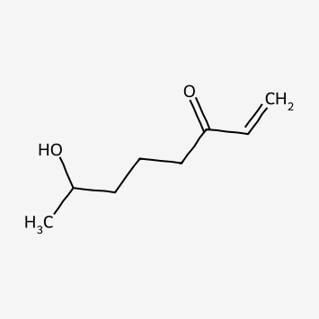 C=CC(=O)CCCC(C)O